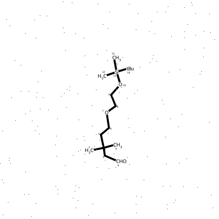 CC(C)(CC=O)CCOCCO[Si](C)(C)C(C)(C)C